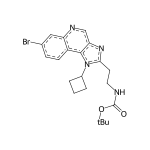 CC(C)(C)OC(=O)NCCc1nc2cnc3cc(Br)ccc3c2n1C1CCC1